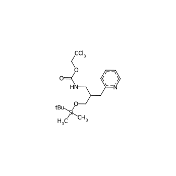 CC(C)(C)[Si](C)(C)OCC(CNC(=O)OCC(Cl)(Cl)Cl)Cc1ccccn1